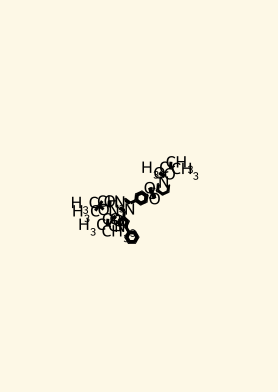 CC(C)(C)OC(=O)N1CCCC(S(=O)(=O)c2ccc(-c3cnc(N(C(=O)OC(C)(C)C)C(=O)OC(C)(C)C)c(-c4cc(-c5ccccc5)no4)n3)cc2)C1